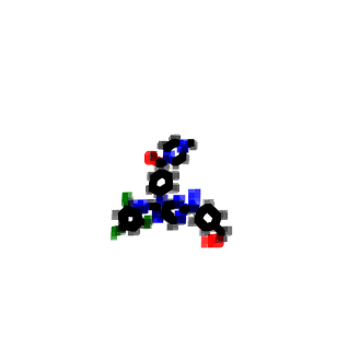 CN1CCN(C(=O)[C@H]2CC[C@@H](n3c(Nc4c(F)cc(F)cc4F)nc4cnc(N[C@H]5CC[C@H](CO)CC5)nc43)CC2)CC1